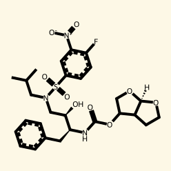 CC(C)CN(C[C@@H](O)[C@H](Cc1ccccc1)NC(=O)OC1CO[C@H]2OCCC12)S(=O)(=O)c1ccc(F)c([N+](=O)[O-])c1